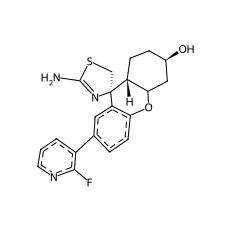 NC1=N[C@]2(CS1)c1cc(-c3cccnc3F)ccc1OC1C[C@H](O)CC[C@H]12